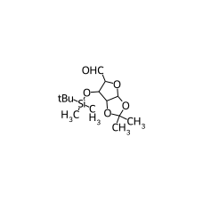 CC1(C)OC2OC(C=O)C(O[Si](C)(C)C(C)(C)C)C2O1